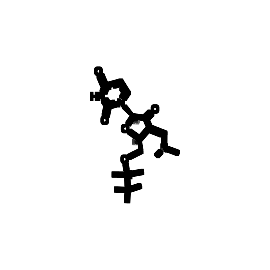 CN(C)C=C1C(=O)[C@H](n2ccc(=O)[nH]c2=O)O[C@@H]1CO[Si](C)(C)C(C)(C)C